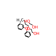 CCCCOCCO.OCCO.c1ccc(Oc2ccccc2)cc1